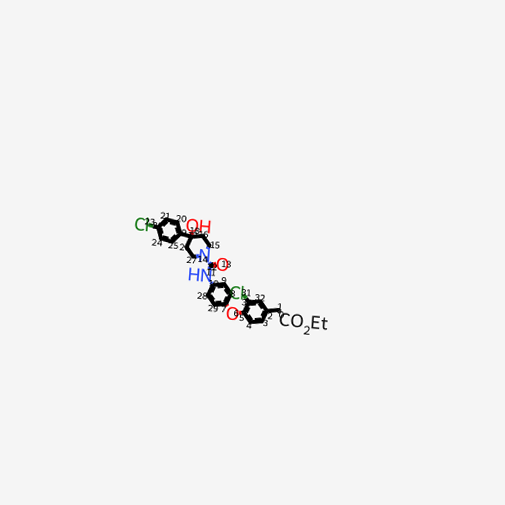 CCOC(=O)Cc1ccc(Oc2ccc(NC(=O)N3CCC(O)(c4ccc(Cl)cc4)CC3)cc2)c(Cl)c1